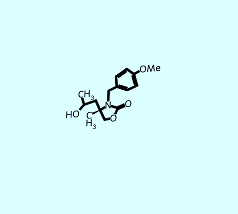 COc1ccc(CN2C(=O)OC[C@]2(C)CC(C)O)cc1